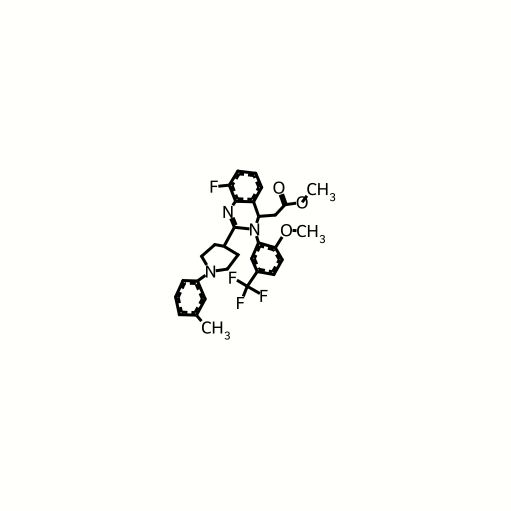 COC(=O)CC1c2cccc(F)c2N=C(C2CCN(c3cccc(C)c3)CC2)N1c1cc(C(F)(F)F)ccc1OC